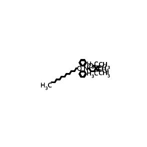 CCCCCCCCCCCCOc1ccccc1N(c1ccccc1)C1CCC(C(C)(C)C)(C(C)(C)C)CO1